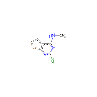 CNc1nc(Cl)nc2sccc12